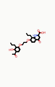 CCCc1c(OCCCOc2ccc3c(=O)cc(C(=O)O)[nH]c3c2CCC)ccc(C(C)=O)c1O